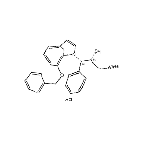 CNC[C@@H](O)[C@H](c1ccccc1)n1ccc2cccc(OCc3ccccc3)c21.Cl